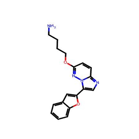 NCCCCOc1ccc2ncc(-c3cc4ccccc4o3)n2n1